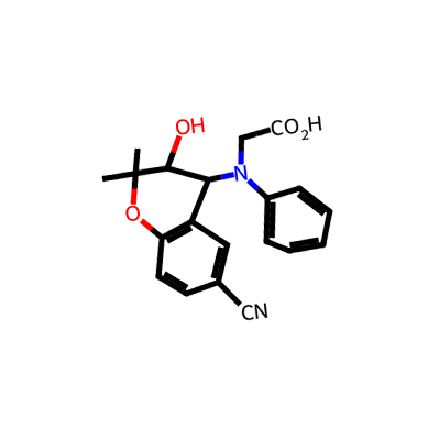 CC1(C)Oc2ccc(C#N)cc2C(N(CC(=O)O)c2ccccc2)C1O